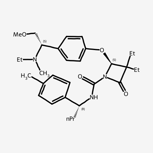 CCC[C@@H](NC(=O)N1C(=O)C(CC)(CC)[C@@H]1Oc1ccc([C@@H](COC)N(C)CC)cc1)c1ccc(C)cc1